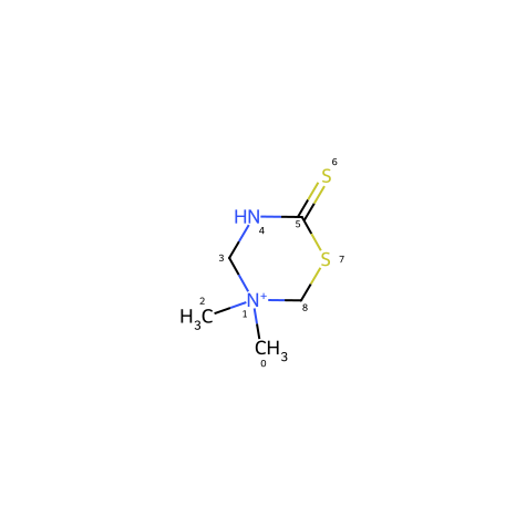 C[N+]1(C)CNC(=S)SC1